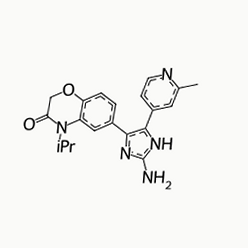 Cc1cc(-c2[nH]c(N)nc2-c2ccc3c(c2)N(C(C)C)C(=O)CO3)ccn1